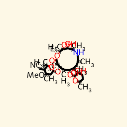 CC[C@H]1OC(=O)[C@H](C)[C@@H](O[C@H]2C[C@@](C)(OC)C(CC#N)[C@H](C)O2)[C@H](C)[C@@H](O[C@@H]2O[C@H](C)CC[C@H]2O)[C@](C)(O)C[C@@H](C)CN[C@H](C)[C@@H](O)[C@]1(C)O